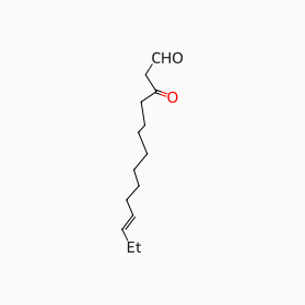 CCC=CCCCCCCCC(=O)CC=O